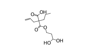 C=CCC(CCC)(C(=O)O)C(=O)OCCC(O)O